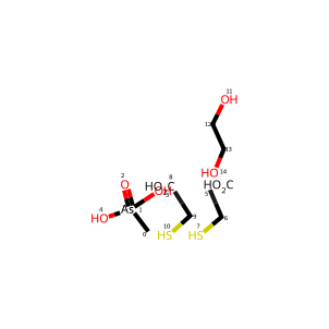 C[As](=O)(O)O.O=C(O)CS.O=C(O)CS.OCCO